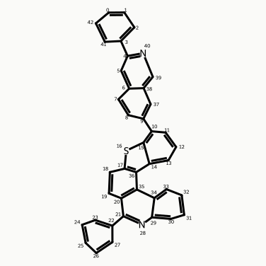 c1ccc(-c2cc3ccc(-c4cccc5c4sc4ccc6c(-c7ccccc7)nc7ccccc7c6c45)cc3cn2)cc1